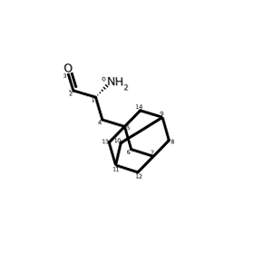 N[C@@H]([C]=O)CC12CC3CC(CC(C3)C1)C2